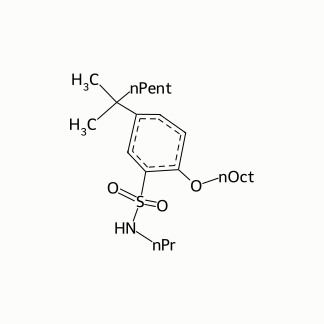 C[CH]CNS(=O)(=O)c1cc(C(C)(C)CCCCC)ccc1OCCCCCCCC